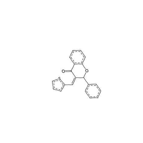 O=C1/C(=C\c2cccs2)C(c2ccccc2)Oc2ccccc21